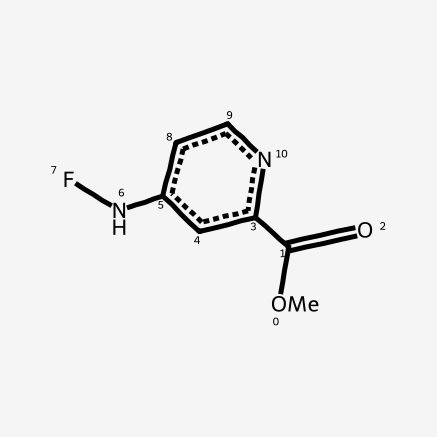 COC(=O)c1cc(NF)ccn1